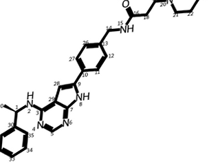 C[C@@H](Nc1ncnc2[nH]c(-c3ccc(CNC(=O)CCN4CCCCC4)cc3)cc12)c1ccccc1